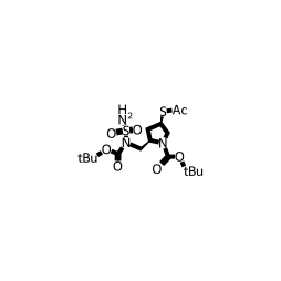 CC(=O)S[C@@H]1C[C@H](CN(C(=O)OC(C)(C)C)S(N)(=O)=O)N(C(=O)OC(C)(C)C)C1